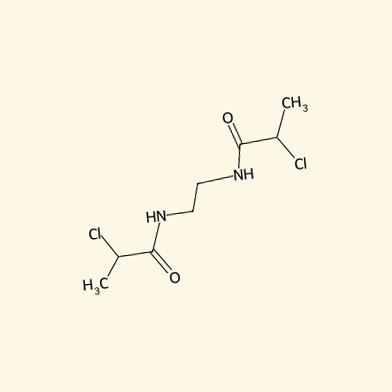 CC(Cl)C(=O)NCCNC(=O)C(C)Cl